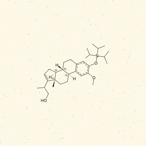 COc1cc2c(cc1O[Si](C(C)C)(C(C)C)C(C)C)CC[C@@H]1[C@@H]2CC[C@]2(C)C(C(C)CO)=CC[C@@H]12